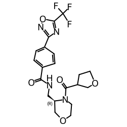 O=C(NC[C@@H]1COCCN1C(=O)C1CCOC1)c1ccc(-c2noc(C(F)(F)F)n2)cc1